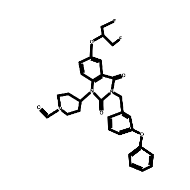 O=CN1CCC(n2c(=O)n(Cc3cccc(Oc4ccccc4)c3)c(=O)c3cc(OC(CF)CF)ccc32)CC1